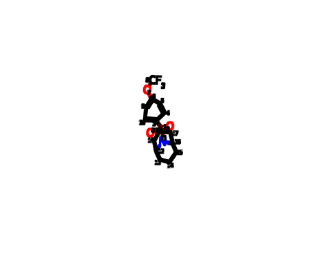 O=S(=O)(c1ccc(OC(F)(F)F)cc1)N1C2CCCC1CCC2